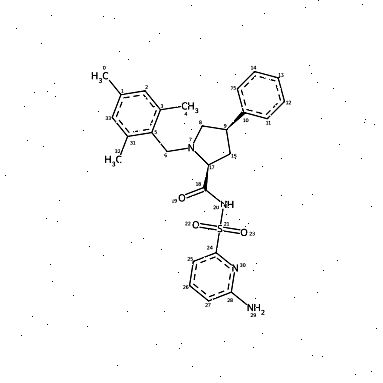 Cc1cc(C)c(CN2C[C@@H](c3ccccc3)C[C@H]2C(=O)NS(=O)(=O)c2cccc(N)n2)c(C)c1